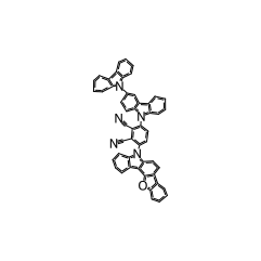 N#Cc1c(-n2c3ccccc3c3cc(-n4c5ccccc5c5ccccc54)ccc32)ccc(-n2c3ccccc3c3c4oc5ccccc5c4ccc32)c1C#N